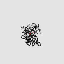 CC(C)c1cc(C(C)C)c(B2c3ccccc3Oc3cc4c(cc32)B2c3ccccc3N3c5ccc6c(oc7ccccc76)c5B5c6ccccc6N6c7ccccc7B7c8ccccc8N4c4c7c6c5c3c42)c(C(C)C)c1